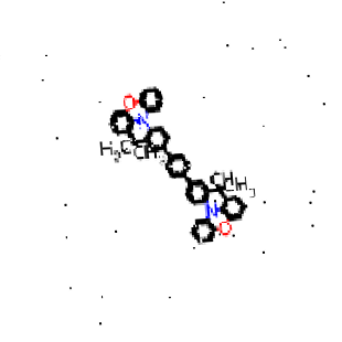 CC1(C)c2cc(-c3ccc(-c4ccc5c(c4)C(C)(C)c4cccc6c4N5c4ccccc4O6)cc3)ccc2N2c3ccccc3Oc3cccc1c32